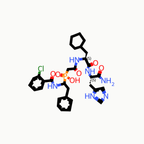 NC(=O)[C@H](Cc1cnc[nH]1)NC(=O)[C@H](CC1CCCCC1)NC(=O)CP(=O)(O)C(Cc1ccccc1)NC(=O)c1ccccc1Cl